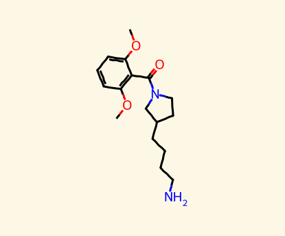 COc1cccc(OC)c1C(=O)N1CCC(CCCCN)C1